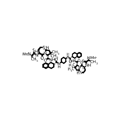 CN[C@@H](C)C(=S)N[C@H]1CCS[C@H]2CC(C)(C)[C@@H](C(=O)N[C@H]3c4ccccc4CC[C@H]3C(=O)NC3CCC(NC(=O)[C@@H]4CCc5ccccc5[C@@H]4NC(=O)[C@H]4N5C(=O)[C@@H](NC(=S)[C@H](C)NC)CCS[C@H]5CC4(C)C)CC3)N2C1=O